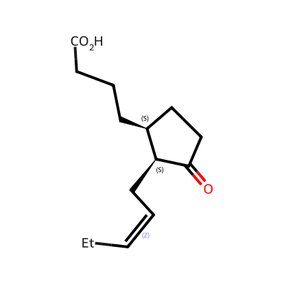 CC/C=C\C[C@@H]1C(=O)CC[C@@H]1CCCC(=O)O